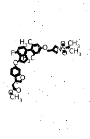 COC(=O)C[C@@H]1COc2cc(O[C@@H]3CCc4c(-c5c(C)cc(OCC6CN(S(=O)(=O)C(C)C)C6)cc5C)ccc(F)c43)ccc21